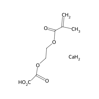 C=C(C)C(=O)OCCOC(=O)C(=O)O.[CaH2]